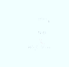 CCCCCCCC/C=C\CCCCCCCCOC(=O)CC(C(=O)O)S(=O)(=O)O.[NaH]